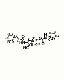 N#Cc1c(NC(=O)C=Cc2cccnc2)sc2c1CCC(OC(=O)NCC1CCCO1)C2